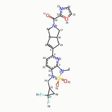 CN1c2nc(C3=CC4CN(C(=O)c5ncco5)CC4C3)ccc2N(CC2CC2(F)F)S1(=O)=O